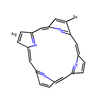 [2H]C1=CC2=CC3=NC(=CC4=NC(=CC5=NC(=CC1=N2)C=C5)C=C4)C=C3.[Ag]